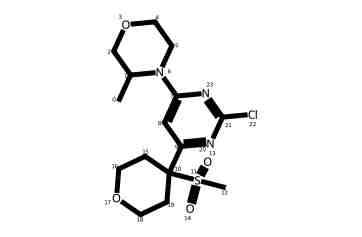 CC1COCCN1c1cc(C2(S(C)(=O)=O)CCOCC2)nc(Cl)n1